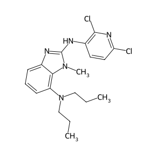 CCCN(CCC)c1cccc2nc(Nc3ccc(Cl)nc3Cl)n(C)c12